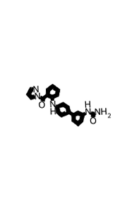 NC(=O)Nc1cccc(-c2ccc(Nc3ccccc3C(=O)n3cccn3)cc2)c1